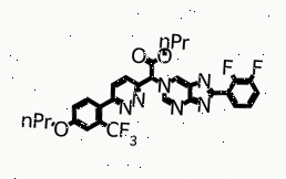 CCCOC(=O)C(c1ccc(-c2ccc(OCCC)cc2C(F)(F)F)nn1)n1cnc2nc(-c3cccc(F)c3F)nc-2c1